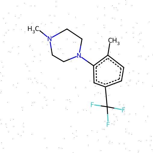 Cc1ccc(C(F)(F)F)cc1N1CCN(C)CC1